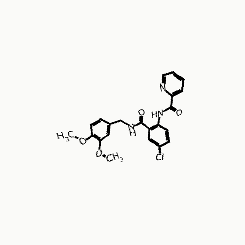 COc1ccc(CNC(=O)c2cc(Cl)ccc2NC(=O)c2ccccn2)cc1OC